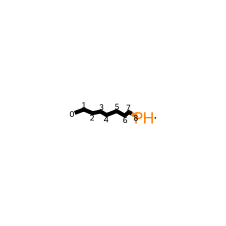 CCCCCCCC[PH]